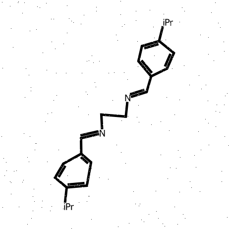 CC(C)c1ccc(/C=N/CC/N=C/c2ccc(C(C)C)cc2)cc1